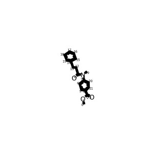 COC(=O)c1ccc(N(C)C(=O)CCc2ccccc2)cc1